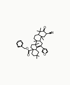 CC1(C)CCC2(C(=O)OCc3ccccc3)CCC3(C)C(=C(c4ccoc4)CC4C5(C)CC(C#N)C(=O)C(C)(C)C5CCC43C)C2C1